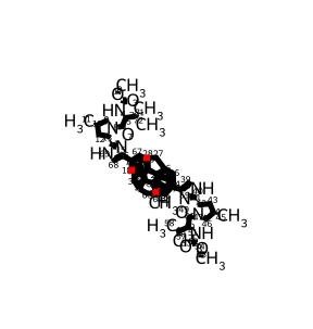 COC(=O)N[C@H](C(=O)N1C[C@H](C)C[C@H]1c1nc(-c2ccc(-c3cc4ccc3CCc3ccc(c(-c5ccc(-c6c[nH]c([C@@H]7C[C@@H](C)CN7C(=O)[C@@H](NC(=O)OC)C(C)C)n6)cc5)c3)C[C@H]4C)cc2)c[nH]1)C(C)C